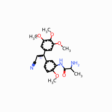 COc1ccc(/C(=C\C#N)c2cc(OC)c(OC)c(OC)c2)cc1NC(=O)C(C)N